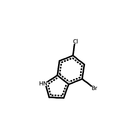 Clc1cc(Br)c2cc[nH]c2c1